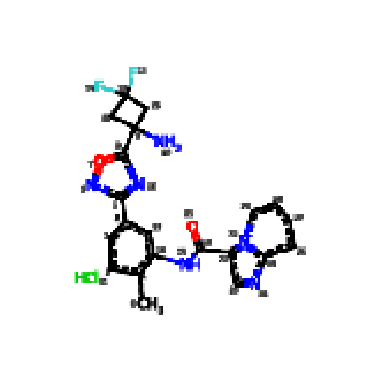 Cc1ccc(-c2noc(C3(N)CC(F)(F)C3)n2)cc1NC(=O)c1cnc2ccccn12.Cl